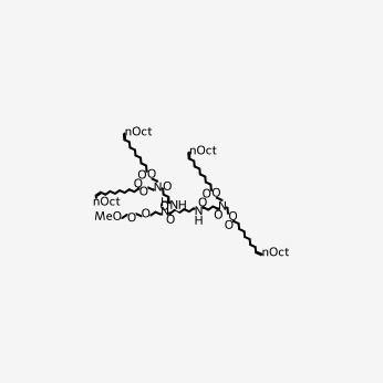 CCCCCCCC/C=C\CCCCCCCC(=O)OCCN(CCOC(=O)CCCCCCC/C=C\CCCCCCCC)C(=O)CCC(=O)NCCCC[C@H](NC(=O)CCC(=O)N(CCOC(=O)CCCCCCC/C=C\CCCCCCCC)CCOC(=O)CCCCCCC/C=C\CCCCCCCC)C(=O)NCCCOCCOCCOC